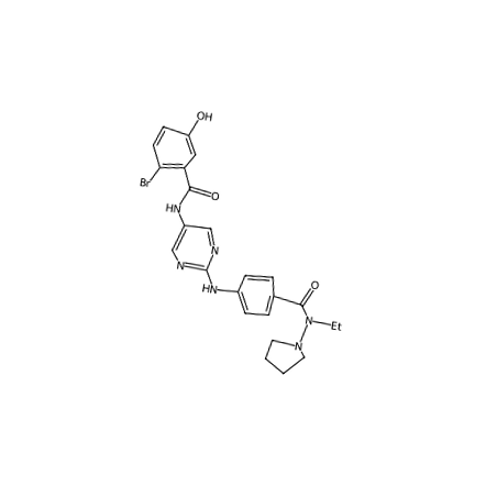 CCN(C(=O)c1ccc(Nc2ncc(NC(=O)c3cc(O)ccc3Br)cn2)cc1)N1CCCC1